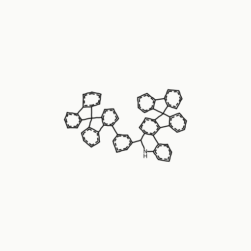 c1cc(-c2cccc3c2-c2ccccc2C32c3ccccc3-c3ccccc32)cc(C2Nc3ccccc3-c3c2ccc2c3-c3ccccc3C23c2ccccc2-c2ccccc23)c1